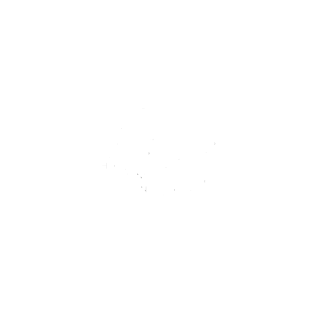 CC(N=NC(C)(O)c1ccc(F)cc1)c1ccc(F)cc1